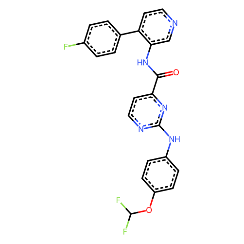 O=C(Nc1cnccc1-c1ccc(F)cc1)c1ccnc(Nc2ccc(OC(F)F)cc2)n1